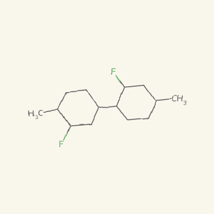 CC1CCC(C2CCC(C)C(F)C2)C(F)C1